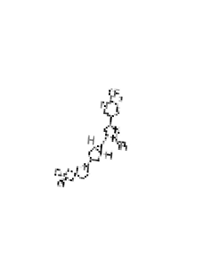 CC(C)n1nc(-c2ccc(C(F)(F)F)nc2)cc1C1[C@H]2CC(N3CCC4(C3)CS(=O)(=O)C4)C[C@@H]12